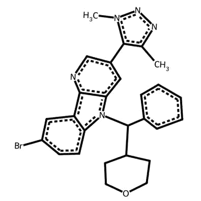 Cc1nnn(C)c1-c1cnc2c3cc(Br)ccc3n(C(c3ccccc3)C3CCOCC3)c2c1